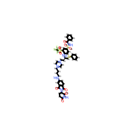 O=C1CCC(N2C(=O)c3ccc(NCCCCN4CCN(CC[C@H](CSc5ccccc5)Nc5ccc(S(=O)(=O)NC(=O)c6ccccc6)cc5S(=O)(=O)C(F)(F)F)CC4)cc3C2=O)C(=O)N1